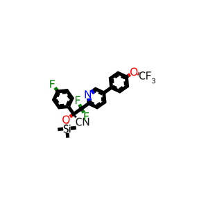 C[Si](C)(C)O[C@](C#N)(c1ccc(F)cc1)C(F)(F)c1ccc(-c2ccc(OC(F)(F)F)cc2)cn1